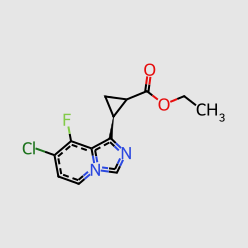 CCOC(=O)C1C[C@@H]1c1ncn2ccc(Cl)c(F)c12